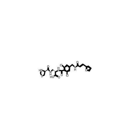 O=C(/C=C/c1ccco1)NCc1cc(Cl)c(C(=O)N[C@@H](CNC(=O)[C@H]2CSCN2)C(=O)O)c(Cl)c1